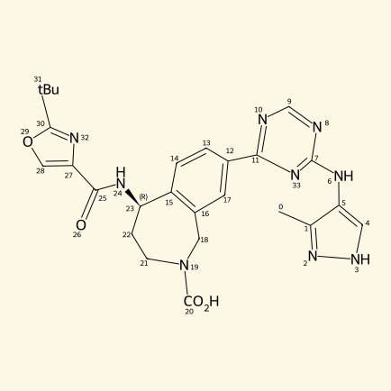 Cc1n[nH]cc1Nc1ncnc(-c2ccc3c(c2)CN(C(=O)O)CC[C@H]3NC(=O)c2coc(C(C)(C)C)n2)n1